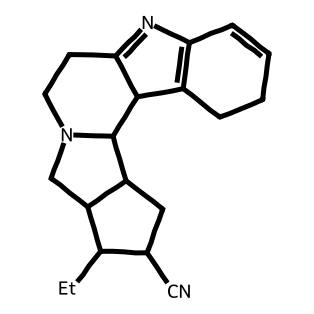 CCC1C(C#N)CC2C1CN1CCC3=NC4=C(CCC=C4)C3C21